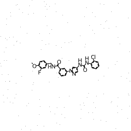 COc1ccc(CNC(=O)c2cccc(-n3cc(NC(=O)Nc4ccccc4Cl)cn3)c2)cc1F